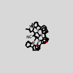 Cc1cc(-c2c(C#N)c(-n3c4ccccc4c4ccccc43)c(-n3c4ccccc4c4ccccc43)c(-n3c4ccccc4c4ccccc43)c2-n2c3ccccc3c3ccccc32)cc(C)n1